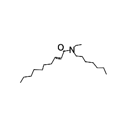 CCCCCCC/C=C/C(=O)N(CC)CCCCCCC